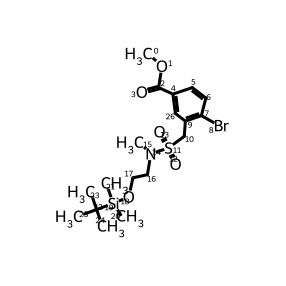 COC(=O)c1ccc(Br)c(CS(=O)(=O)N(C)CCO[Si](C)(C)C(C)(C)C)c1